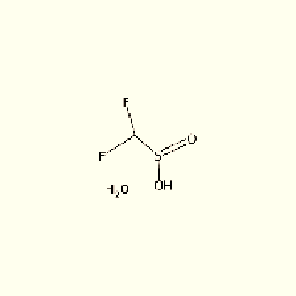 O.O=S(O)C(F)F